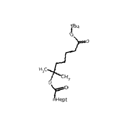 CCCCCCCC(=O)OC(C)(C)CCCCC(=O)OC(C)(C)C